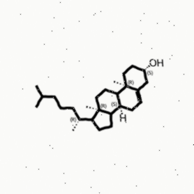 CC(C)CCC[C@@H](C)C1CCC2[C@@H]3CC=C4C[C@@H](O)CC[C@]4(C)C3CC[C@@]21C